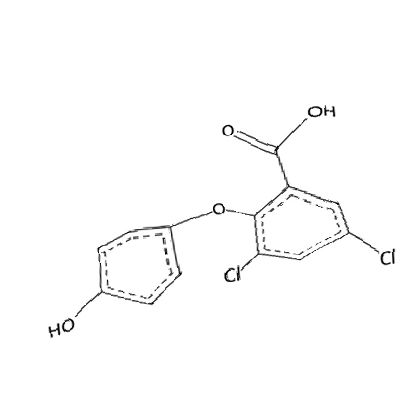 O=C(O)c1cc(Cl)cc(Cl)c1Oc1ccc(O)cc1